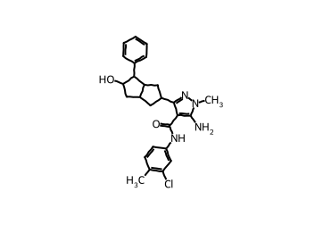 Cc1ccc(NC(=O)c2c(C3CC4CC(O)C(c5ccccc5)C4C3)nn(C)c2N)cc1Cl